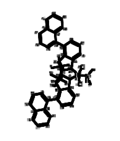 C[SiH](C)[Hf]([Cl])([Cl])([CH]1C(C(C)(C)C)=Cc2c(-c3cccc4ccccc34)cccc21)[CH]1C(C(C)(C)C)=Cc2c(-c3cccc4ccccc34)cccc21